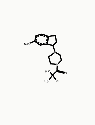 CCC(C)(C)C(=O)N1CCN(C2CCc3ccc(OC)cc32)CC1